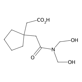 O=C(O)CC1(CC(=O)N(CO)CO)CCCC1